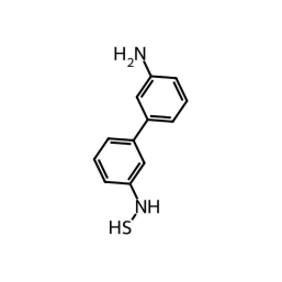 Nc1cccc(-c2cccc(NS)c2)c1